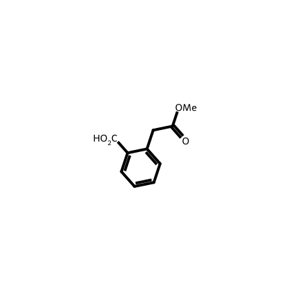 COC(=O)Cc1ccccc1C(=O)O